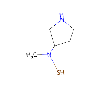 CN(S)C1CCNC1